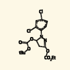 CCOC(=O)OC1=NN(c2ccc(Cl)cc2Cl)C(OC(=O)OC(C)(C)C)C1